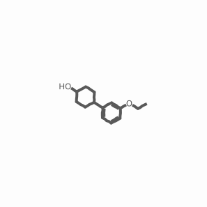 CCOc1cccc(C2CCC(O)CC2)c1